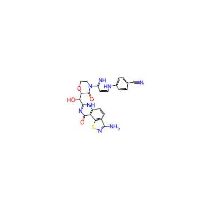 N#Cc1ccc(N/C=C\C(=N)N2CCOC(C(O)c3nc(=O)c4c(ccc5c(N)nsc54)[nH]3)C2=O)cc1